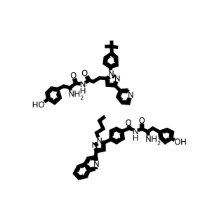 CC(C)(C)c1ccc(-n2nc(-c3cccnc3)cc2CCC(=O)NC(=O)C(N)Cc2ccc(O)cc2)cc1.CCCCn1nc(-c2cc3ccccc3cn2)cc1-c1ccc(C(=O)NC(=O)C(N)Cc2ccc(O)cc2)cc1